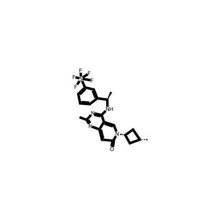 Cc1nc(N[C@H](C)c2cccc(S(F)(F)(F)(F)F)c2)c2cn([C@H]3C[C@@H](C)C3)c(=O)cc2n1